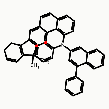 CC1(C)C2=C(CCC=C2)c2cc3ccc4cccc(N(c5ccccc5)c5cc(-c6ccccc6)c6ccccc6c5)c4c3cc21